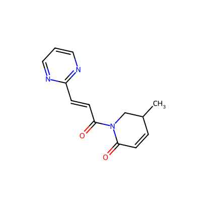 CC1C=CC(=O)N(C(=O)C=Cc2ncccn2)C1